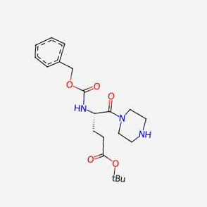 CC(C)(C)OC(=O)CC[C@H](NC(=O)OCc1ccccc1)C(=O)N1CCNCC1